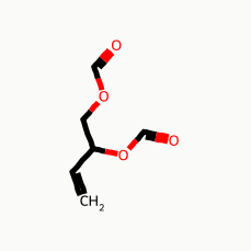 C=CC(COC=O)OC=O